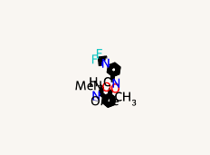 CNC(=O)/C(=N/OC)c1cccc(C)c1CO/N=C(\C)c1cccc(N2CC(F)(F)C2)c1